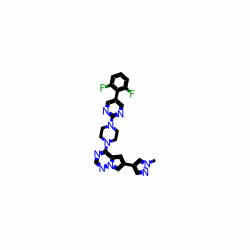 Cn1cc(-c2cc3c(N4CCN(c5ncc(-c6c(F)cccc6F)cn5)CC4)ncnn3c2)cn1